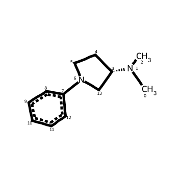 CN(C)[C@H]1CCN(c2ccccc2)C1